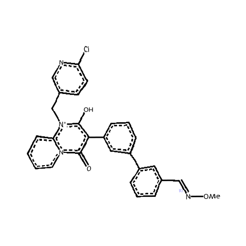 CO/N=C/c1cccc(-c2cccc(-c3c(O)[n+](Cc4ccc(Cl)nc4)c4ccccn4c3=O)c2)c1